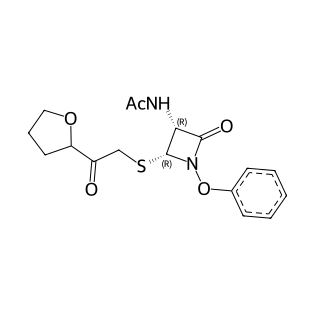 CC(=O)N[C@@H]1C(=O)N(Oc2ccccc2)[C@@H]1SCC(=O)C1CCCO1